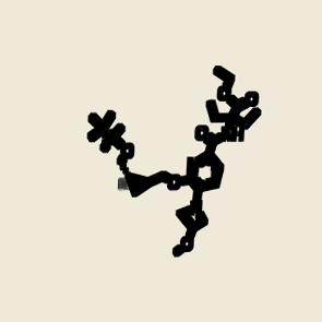 CCOC(=O)C(CC)(CC)NC(=O)c1ccc(N2CC(OC)C2)c(OCC2C[C@@H]2CO[Si](C)(C)C(C)(C)C)n1